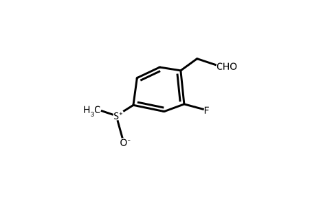 C[S+]([O-])c1ccc(CC=O)c(F)c1